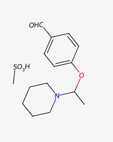 CC(Oc1ccc(C=O)cc1)N1CCCCC1.CS(=O)(=O)O